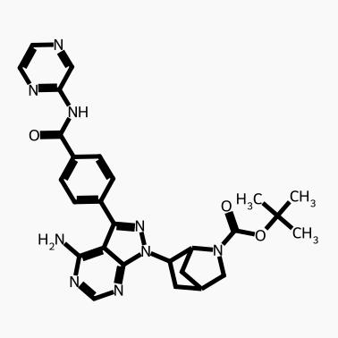 CC(C)(C)OC(=O)N1CC2CC1C(n1nc(-c3ccc(C(=O)Nc4cnccn4)cc3)c3c(N)ncnc31)C2